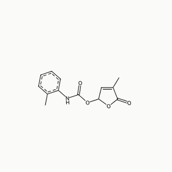 CC1=CC(OC(=O)Nc2ccccc2C)OC1=O